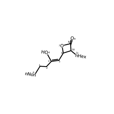 CCCCCCCCCCC/C(O)=C/C1OC(=O)C1CCCCCC